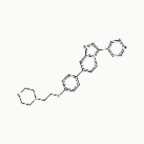 c1cc(-c2cnc3cc(-c4ccc(OCCN5CCOCC5)cc4)ccn23)cnn1